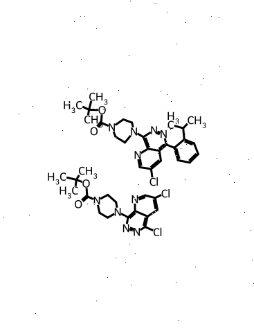 CC(C)(C)OC(=O)N1CCN(c2nnc(Cl)c3cc(Cl)cnc23)CC1.CC(C)c1ccccc1-c1nnc(N2CCN(C(=O)OC(C)(C)C)CC2)c2ncc(Cl)cc12